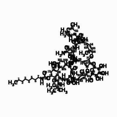 CCCCCCCCNC(=O)Oc1cc(O)c2c(c1)[C@@H](C(=O)NC(C)(C)C)NC(=O)[C@H]1NC(=O)[C@H](NC(=O)[C@@H]3NC(=O)[C@H](CC(N)=O)NC(=O)[C@H](NC(=O)[C@@H](CC(C)C)NC)[C@H](O)c4ccc(c(C)c4)Oc4cc3cc(c4O[C@@H]3O[C@H](CO)[C@@H](O)[C@H](O)[C@H]3O)Oc3ccc(cc3Cl)[C@H]1O)c1ccc(O)c-2c1